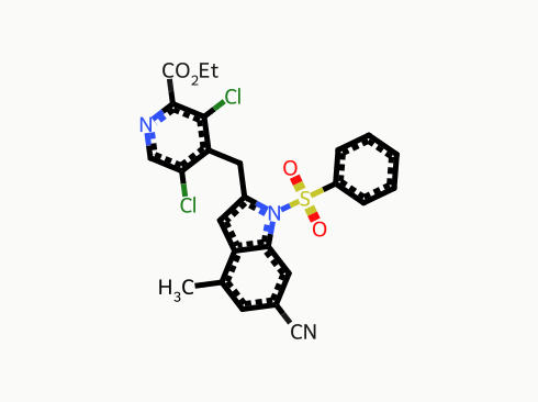 CCOC(=O)c1ncc(Cl)c(Cc2cc3c(C)cc(C#N)cc3n2S(=O)(=O)c2ccccc2)c1Cl